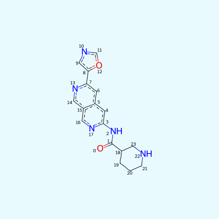 O=C(Nc1cc2cc(-c3cnco3)ncc2cn1)C1CCCNC1